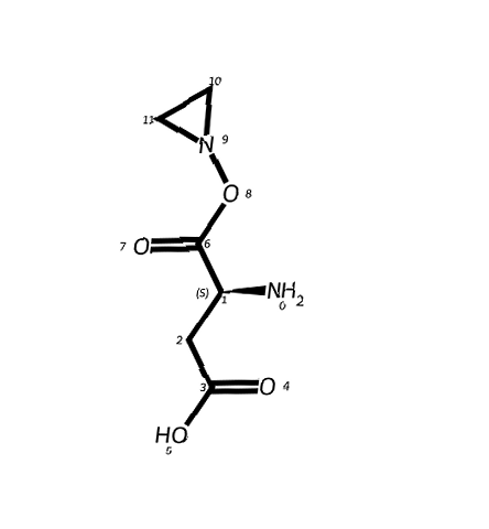 N[C@@H](CC(=O)O)C(=O)ON1CC1